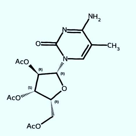 CC(=O)OC[C@H]1O[C@@H](n2cc(C)c(N)nc2=O)[C@H](OC(C)=O)[C@H]1OC(C)=O